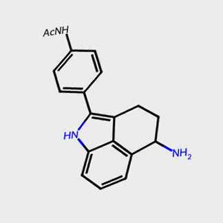 CC(=O)Nc1ccc(-c2[nH]c3cccc4c3c2CCC4N)cc1